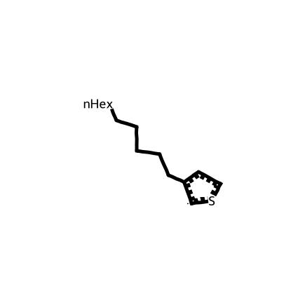 CCCCCCCCCCCc1[c]scc1